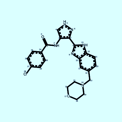 O=C(Nc1c[nH]nc1-c1nc2cc(CN3CCOCC3)ccc2[nH]1)c1ccc(Cl)cc1